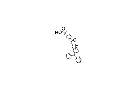 CC(C)(C(=O)O)c1ccc(C(=O)CCCC2CC(C(c3ccccc3)c3ccccc3)CCN2)cc1